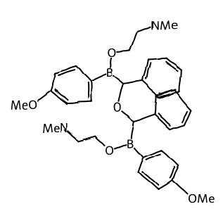 CNCCOB(c1ccc(OC)cc1)C(OC(B(OCCNC)c1ccc(OC)cc1)c1ccccc1)c1ccccc1